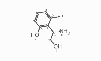 N[C@H](CO)c1c(O)cccc1F